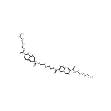 O=C(OCCOCCO)c1ccc2cc(C(=O)OCCOCCOC(=O)c3ccc4cc(C(=O)OCCOCCO)ccc4c3)ccc2c1